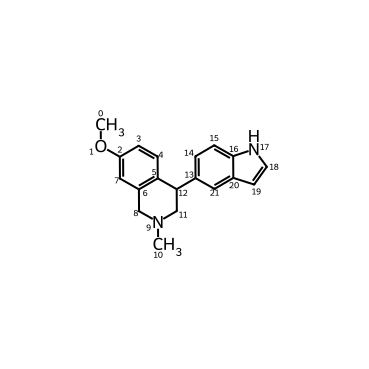 COc1ccc2c(c1)CN(C)CC2c1ccc2[nH]ccc2c1